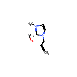 C=CCN1C=CN(C)C1.O=[N+]([O-])O